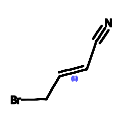 N#C/C=C/CBr